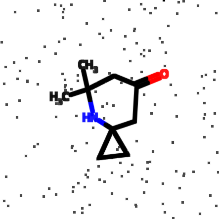 CC1(C)CC(=O)CC2(CC2)N1